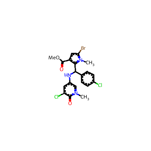 COC(=O)c1cc(Br)n(C)c1C(Nc1cc(Cl)c(=O)n(C)c1)c1ccc(Cl)cc1